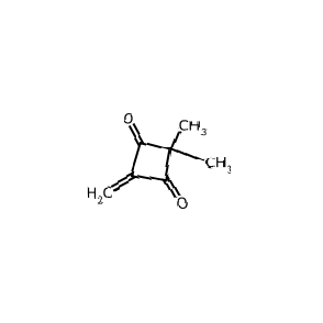 C=C1C(=O)C(C)(C)C1=O